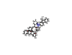 CC1/C=C\C=C(\c2ccccc2N(c2ccccc2)c2ccc3c(c2)C(C)(C)c2ccccc2-3)Cc2ccc(-c3ccccc3)cc2C12c1ccccc1-c1ccccc12